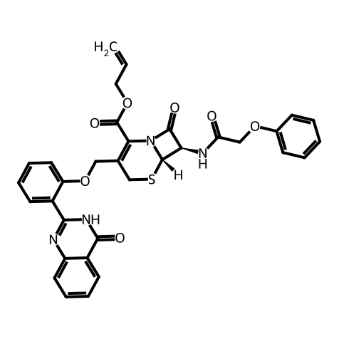 C=CCOC(=O)C1=C(COc2ccccc2-c2nc3ccccc3c(=O)[nH]2)CS[C@H]2[C@H](NC(=O)COc3ccccc3)C(=O)N12